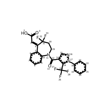 O=C(O)C=C1c2ccccc2N(C(=O)c2cnn(-c3ccccc3)c2C(F)(F)F)CCC1(F)F